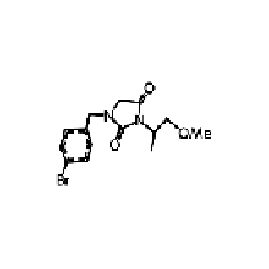 COCC(C)N1C(=O)CN(Cc2ccc(Br)cc2)C1=O